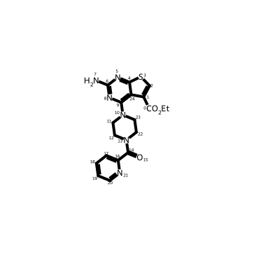 CCOC(=O)c1csc2nc(N)nc(N3CCN(C(=O)c4ccccn4)CC3)c12